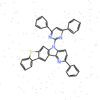 c1ccc(-c2cc(-c3ccccc3)nc(-n3c4cc5sc6ccccc6c5cc4c4nc(-c5ccccc5)ccc43)n2)cc1